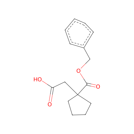 O=C(O)CC1(C(=O)OCc2ccccc2)CCCC1